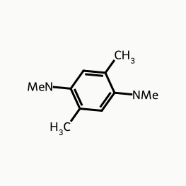 CNc1cc(C)c(NC)cc1C